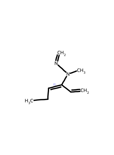 C=C/C(=C\CC)N(C)N=C